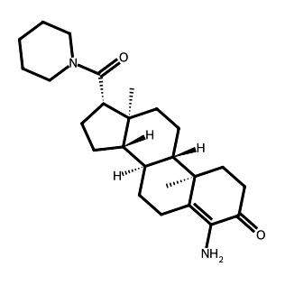 C[C@]12CC[C@H]3[C@@H](CCC4=C(N)C(=O)CC[C@@]43C)[C@@H]1CC[C@@H]2C(=O)N1CCCCC1